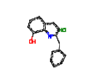 Cl.Oc1cccc2ccc(Cc3ccccc3)nc12